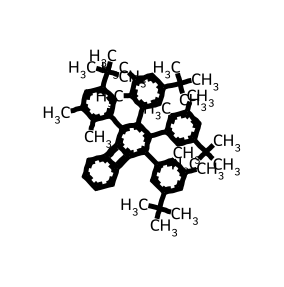 Cc1cc(C(C)(C)C)cc(-c2c(-c3cc(C(C)(C)C)cc(C)c3C)c(-c3cc(C(C)(C)C)cc(C)c3C)c3c(c2-c2cc(C(C)(C)C)cc(C)c2C)=c2ccccc2=3)c1C